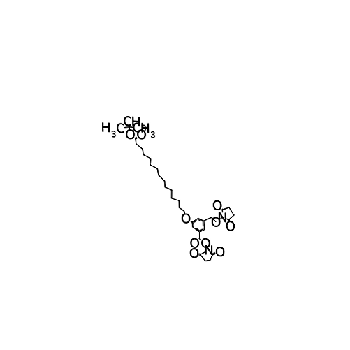 CC(C)(C)OC(=O)CCCCCCCCCCCCCCOc1cc(CON2C(=O)CCC2=O)cc(C(=O)ON2C(=O)CCC2=O)c1